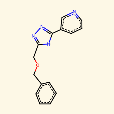 c1ccc(COCC2=NN=C(c3cccnc3)[N]2)cc1